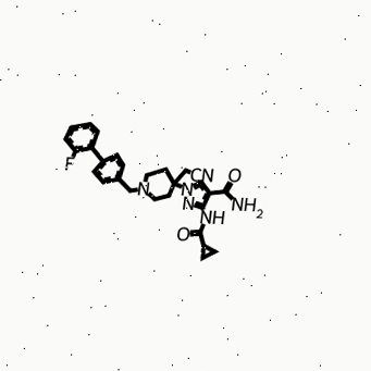 N#CCC1(n2cc(C(N)=O)c(NC(=O)C3CC3)n2)CCN(Cc2ccc(-c3ccccc3F)cc2)CC1